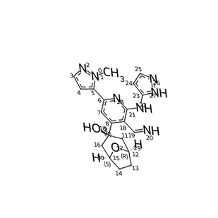 Cn1nccc1-c1cc([C@]2(O)C[C@H]3CC[C@@H](C2)O3)c(C=N)c(Nc2ccn[nH]2)n1